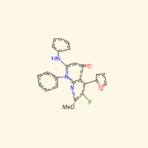 COc1nc2c(c(-c3ccco3)c1F)c(=O)cc(Nc1ccccc1)n2-c1ccccc1